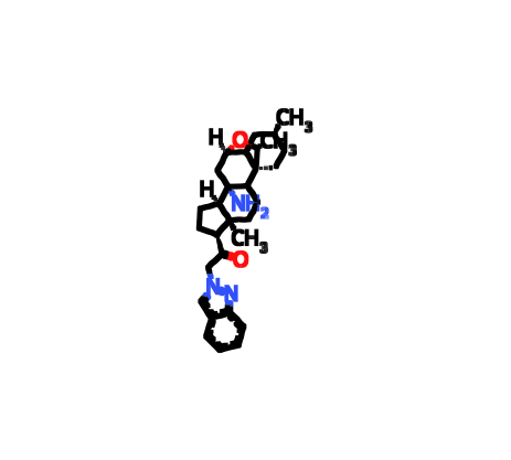 C[C@H]1CC[C@@]23C(C1)[C@@H](C[C@]1(N)C2CC[C@]2(C)[C@@H](C(=O)Cn4cc5ccccc5n4)CC[C@H]21)O[C@@H]3C